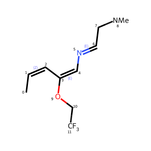 C\C=C/C(=C\N=C\CNC)OCC(F)(F)F